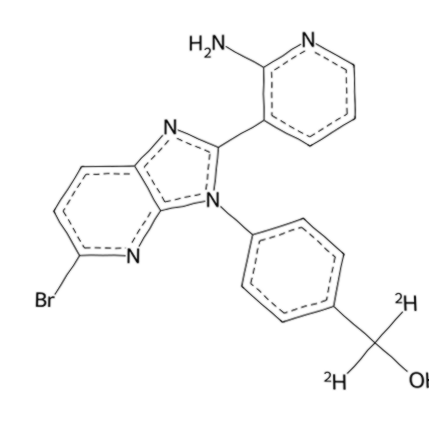 [2H]C([2H])(O)c1ccc(-n2c(-c3cccnc3N)nc3ccc(Br)nc32)cc1